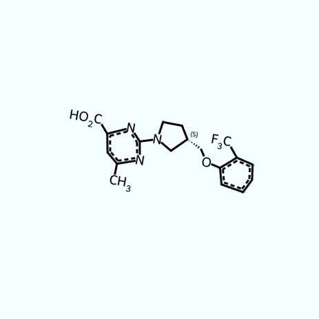 Cc1cc(C(=O)O)nc(N2CC[C@H](COc3ccccc3C(F)(F)F)C2)n1